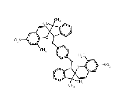 Cc1cc([N+](=O)[O-])cc2c1OC1(C=C2)N(Cc2ccc(CN3c4ccccc4C(C)(C)C34C=Cc3cc([N+](=O)[O-])cc(C)c3O4)cc2)c2ccccc2C1(C)C